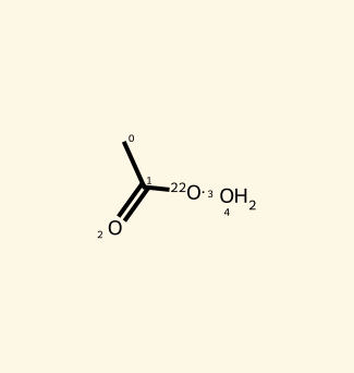 CC(=O)[22O].O